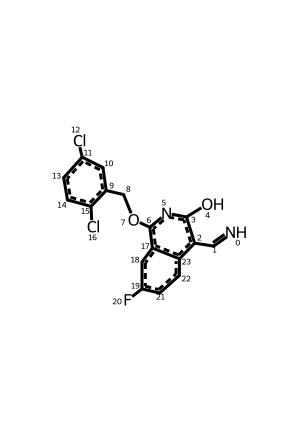 N=Cc1c(O)nc(OCc2cc(Cl)ccc2Cl)c2cc(F)ccc12